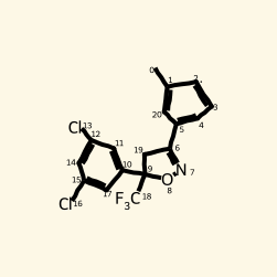 Cc1[c]ccc(C2=NOC(c3cc(Cl)cc(Cl)c3)(C(F)(F)F)C2)c1